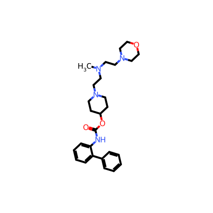 CN(CCN1CCOCC1)CCN1CCC(OC(=O)Nc2ccccc2-c2ccccc2)CC1